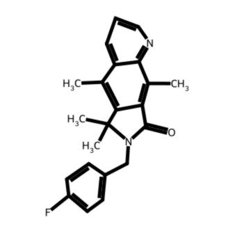 Cc1c2c(c(C)c3ncccc13)C(=O)N(Cc1ccc(F)cc1)C2(C)C